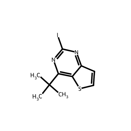 CC(C)(C)c1nc(I)nc2ccsc12